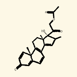 CC(=O)OCC(=O)[C@@]1(O)C(C)C=C2C3=C(CC[C@@]21C)[C@@]1(C)C=CC(=O)C=C1C=C3